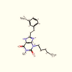 CCn1c(=O)c2[nH]c(CCc3cccc(OC)c3)nc2n(CCCCS(=O)(=O)O)c1=O